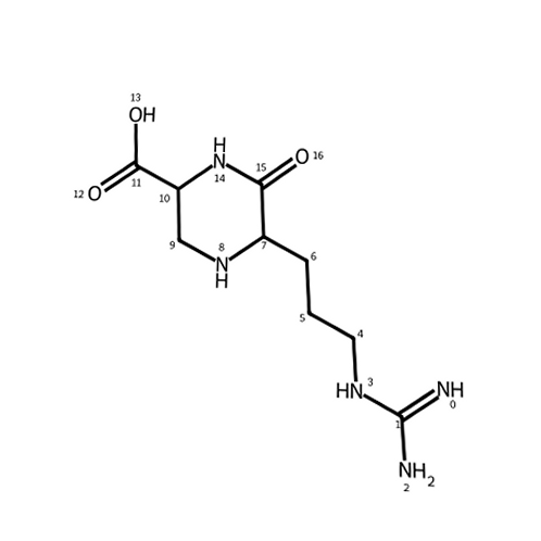 N=C(N)NCCCC1NCC(C(=O)O)NC1=O